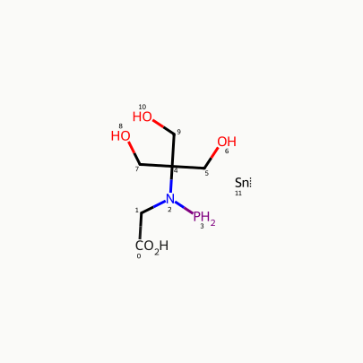 O=C(O)CN(P)C(CO)(CO)CO.[Sn]